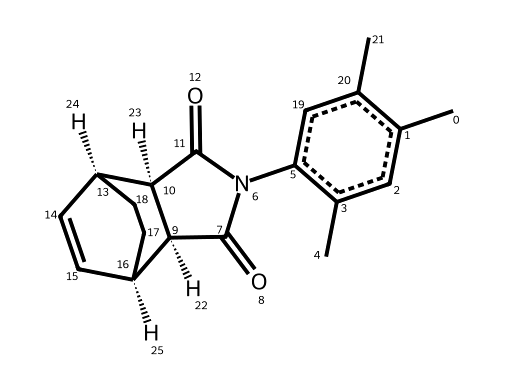 Cc1cc(C)c(N2C(=O)[C@@H]3[C@H](C2=O)[C@@H]2C=C[C@H]3CC2)cc1C